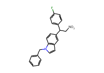 O=[N+]([O-])CC(c1ccc(F)cc1)c1ccc2c(ccn2Cc2ccccc2)c1